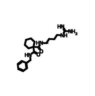 N=C(N)NCCC[CH]NC(=O)C1(C(=O)NCc2ccccc2)CCCCC1